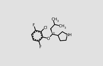 CC(C)C[C@H](Oc1c(F)ccc(F)c1Cl)C1CCNC1